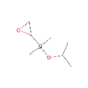 CC(C)O[Si](C)(C)C1CO1